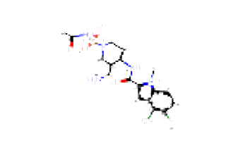 CC(=O)NS(=O)(=O)N1CCC(NC(=O)c2cc3c(Cl)c(Cl)ccc3n2C)C(CN)C1